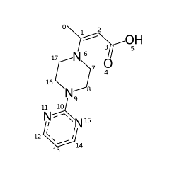 C/C(=C/C(=O)O)N1CCN(c2ncccn2)CC1